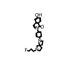 O=c1c2ccc(O)cc2ccn1-c1ccc(N2CCC3(CCN(CCCF)C3)C2)cc1